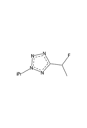 CC(F)c1nnn(C(C)C)n1